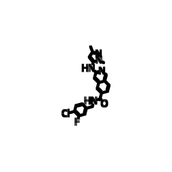 Cc1cc(Nc2cc3cc(C(=O)NCc4ccc(Cl)c(F)c4)ccc3cn2)n(C)n1